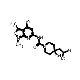 CCC(CC)CC1(O)CCN(C(=O)Nc2cc(C(C)C)c3c(C)nn(C)c3n2)CC1